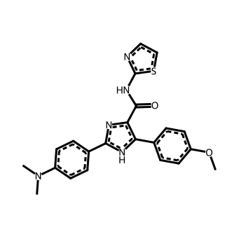 COc1ccc(-c2[nH]c(-c3ccc(N(C)C)cc3)nc2C(=O)Nc2nccs2)cc1